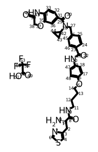 N[C@@H](Cc1cscn1)C(=O)NCCCCOc1ccc(NC(=O)c2ccc(CN(C(=O)c3ccc4c(c3)OCC(=O)N4)C3CC3)cc2)cc1.O=C(O)C(F)(F)F